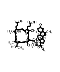 CC(=O)O[C@]1(C(C)=O)CC[C@H]2[C@@H]3C=C(C)C4=CC(=O)CC[C@]4(C)[C@H]3CC[C@@]21C.CC1=C(CCC(=O)O)c2cc3[nH]c(cc4nc(cc5[nH]c(cc1n2)c(C(C)O)c5C)C(C(C)O)=C4C)c(C)c3CCC(=O)O